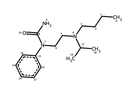 CCCCN(CCN(C(N)=O)c1ccccc1)C(C)C